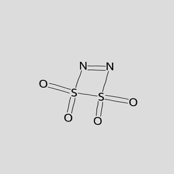 O=S1(=O)N=NS1(=O)=O